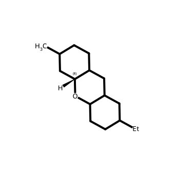 CCC1CCC2O[C@@H]3CC(C)CCC3CC2C1